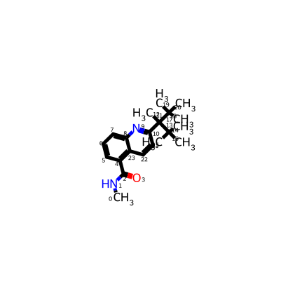 CNC(=O)c1cccc2nc(C(C)(C(C)(C)C)C(C)(C)C)ccc12